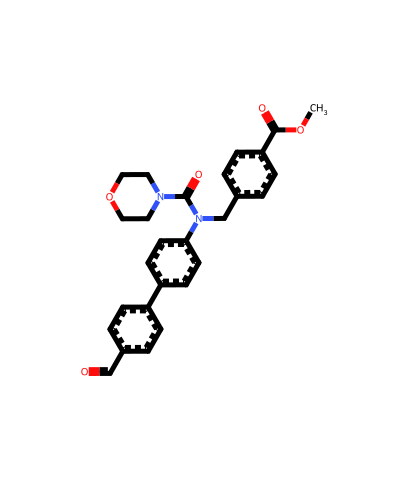 COC(=O)c1ccc(CN(C(=O)N2CCOCC2)c2ccc(-c3ccc(C=O)cc3)cc2)cc1